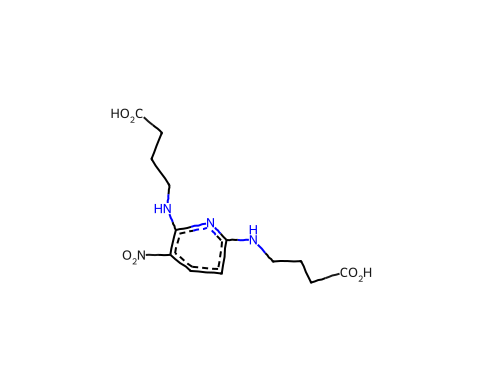 O=C(O)CCCNc1ccc([N+](=O)[O-])c(NCCCC(=O)O)n1